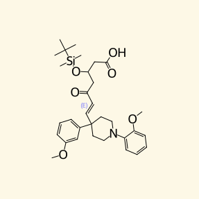 COc1cccc(C2(/C=C/C(=O)CC(CC(=O)O)O[Si](C)(C)C(C)(C)C)CCN(c3ccccc3OC)CC2)c1